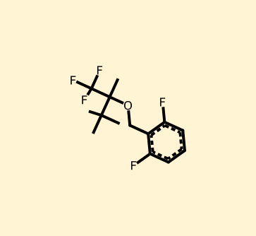 CC(C)(C)C(C)(OCc1c(F)cccc1F)C(F)(F)F